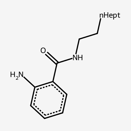 CCCCCCCCCNC(=O)c1ccccc1N